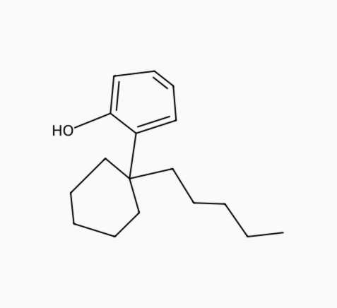 CCCCCC1(c2ccccc2O)CCCCC1